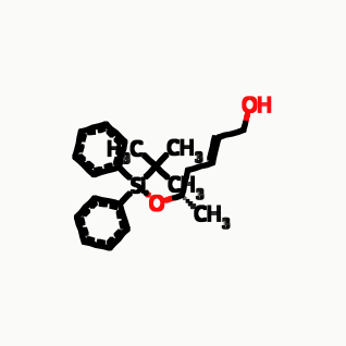 C[C@@H](C/C=C/CO)O[Si](c1ccccc1)(c1ccccc1)C(C)(C)C